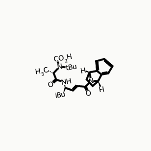 CC[C@H](C)[C@@H](/C=C/C(=O)N1[C@@H]2CC[C@H]1c1ccccc12)NC(=O)[C@H](C)N(C(=O)O)C(C)(C)C